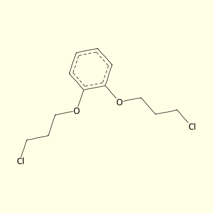 ClCCCOc1ccccc1OCCCCl